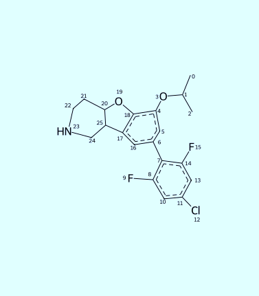 CC(C)Oc1cc(-c2c(F)cc(Cl)cc2F)cc2c1OC1CCNCC21